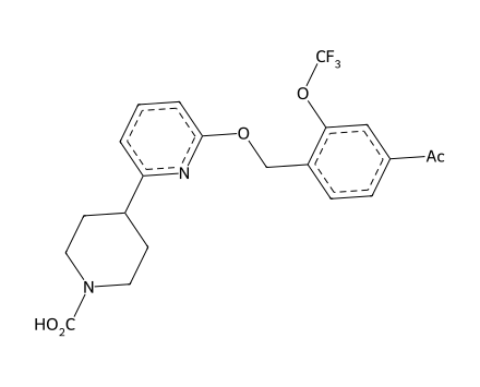 CC(=O)c1ccc(COc2cccc(C3CCN(C(=O)O)CC3)n2)c(OC(F)(F)F)c1